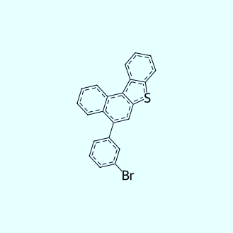 Brc1cccc(-c2cc3sc4ccccc4c3c3ccccc23)c1